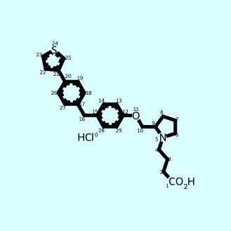 Cl.O=C(O)CCCN1CCCC1COc1ccc(Cc2ccc(-c3ccsc3)cc2)cc1